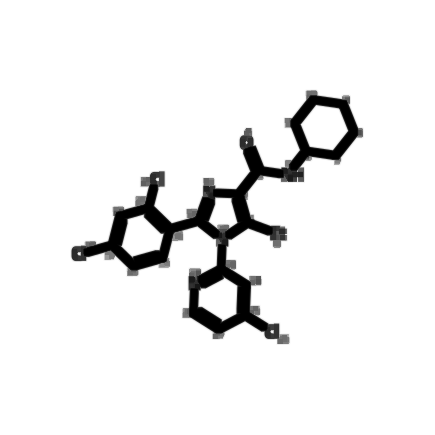 CCc1c(C(=O)NC2CCCCC2)nc(-c2ccc(Cl)cc2Cl)n1-c1cc(Cl)ccn1